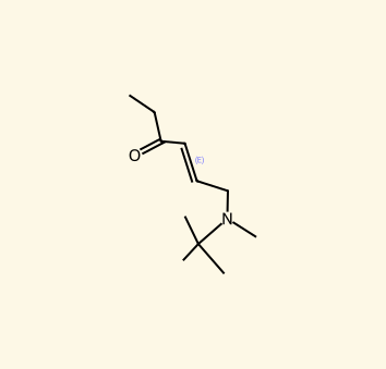 CCC(=O)/C=C/CN(C)C(C)(C)C